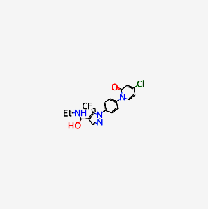 CCNC(O)c1cnn(-c2ccc(-n3ccc(Cl)cc3=O)cc2)c1C(F)(F)F